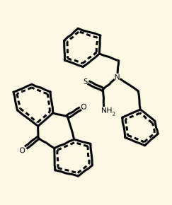 NC(=S)N(Cc1ccccc1)Cc1ccccc1.O=C1c2ccccc2C(=O)c2ccccc21